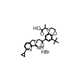 Br.CC(C(=O)O)N1CCOc2c1cc(C(=O)CN1Cc3ccc(C4CC4)nc3C1=N)cc2C(C)(C)C